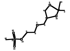 CC1(C)OCC(COCCOS(C)(=O)=O)O1